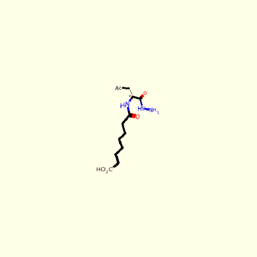 CC(=O)C[C@@H](NC(=O)CCCCCCC(=O)O)C(=O)NN